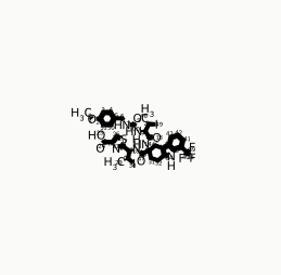 COc1ccc(CNC(=O)N[C@H](C(=O)N[C@]2(C(=O)N[C@H](c3nc(C(=O)O)cs3)[C@@H](C)I)CCc3[nH]c4c(C(F)(F)F)cccc4c3C2)[C@@H](C)I)cc1